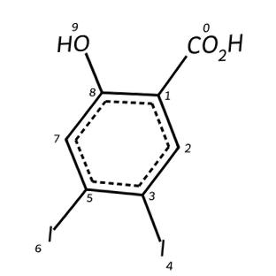 O=C(O)c1cc(I)c(I)cc1O